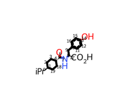 CC(C)[C@H]1CC[C@H](C(=O)N[C@H](Cc2ccc(O)cc2)C(=O)O)CC1